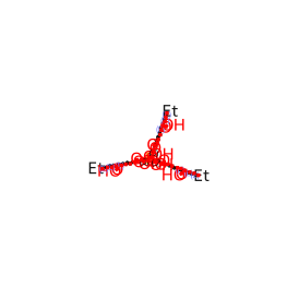 CC/C=C/C/C=C/CC(/C=C/CCCCCCC(=O)OC[C@H](O)COP(=O)(OC[C@@H](O)COC(=O)CCCCCC/C=C/C(C/C=C/C/C=C/CC)OO)OC[C@@H](O)COC(=O)CCCCCC/C=C/C(C/C=C/C/C=C/CC)OO)OO